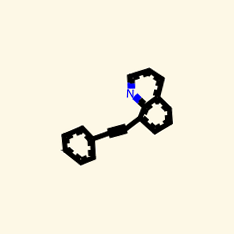 C(#Cc1cccc2cccnc12)c1cc[c]cc1